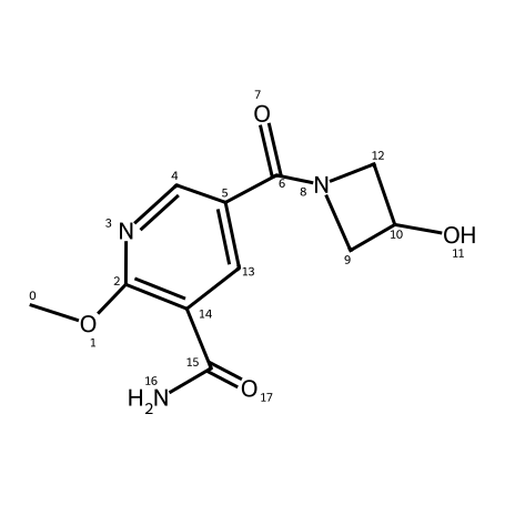 COc1ncc(C(=O)N2CC(O)C2)cc1C(N)=O